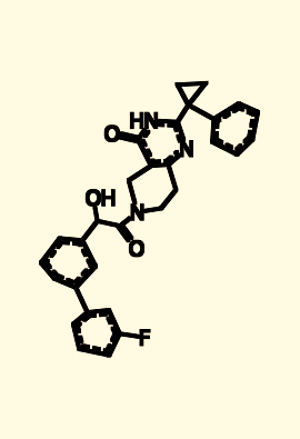 O=C(C(O)c1cccc(-c2cccc(F)c2)c1)N1CCc2nc(C3(c4ccccc4)CC3)[nH]c(=O)c2C1